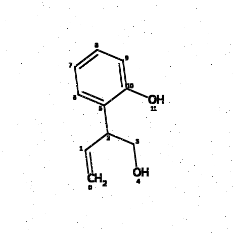 C=CC(CO)c1ccccc1O